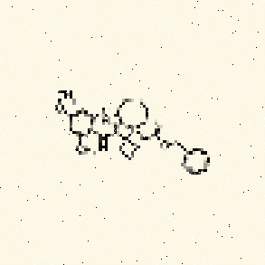 COc1cc(C)c(NC(=O)C2([PH]3(CC(=O)OCc4ccccc4)CCCCCC3)CCC2)c(C)c1